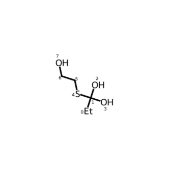 CCC(O)(O)SCCO